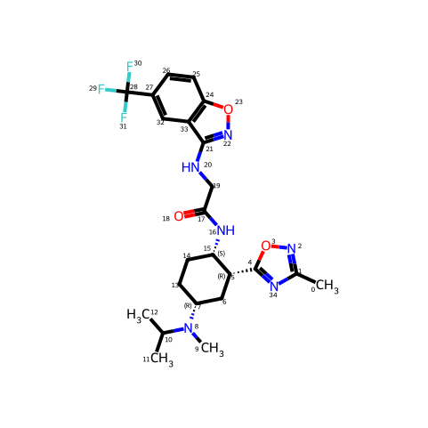 Cc1noc([C@@H]2C[C@H](N(C)C(C)C)CC[C@@H]2NC(=O)CNc2noc3ccc(C(F)(F)F)cc23)n1